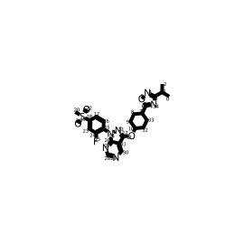 CC(C)c1noc(C2CCC(Oc3nn(-c4ccc(S(C)(=O)=O)cc4F)c4ncncc34)CC2)n1